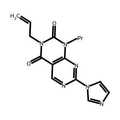 C=CCn1c(=O)c2cnc(-n3ccnc3)nc2n(C(C)C)c1=O